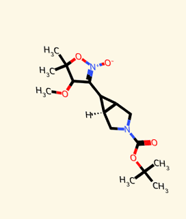 COC1C(C2C3CN(C(=O)OC(C)(C)C)C[C@H]32)=[N+]([O-])OC1(C)C